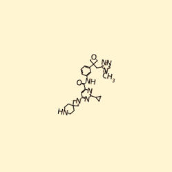 Cn1cnnc1CC1(c2cccc(NC(=O)c3cc(N4CC5(CCNCC5)C4)nc(C4CC4)n3)c2)COC1